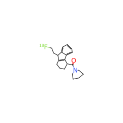 O=C(C1CCCC2=C1c1ccccc1C2CC[18F])N1CCCCC1